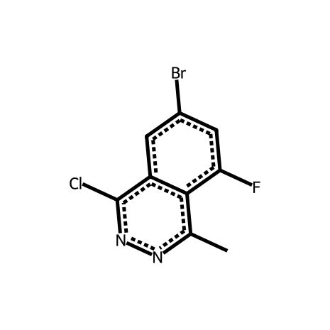 Cc1nnc(Cl)c2cc(Br)cc(F)c12